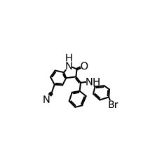 N#Cc1ccc2c(c1)/C(=C(/Nc1ccc(Br)cc1)c1ccccc1)C(=O)N2